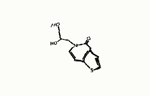 O=c1c2ccsc2ccn1CC(O)O